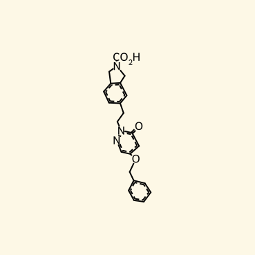 O=C(O)N1Cc2ccc(CCn3ncc(OCc4ccccc4)cc3=O)cc2C1